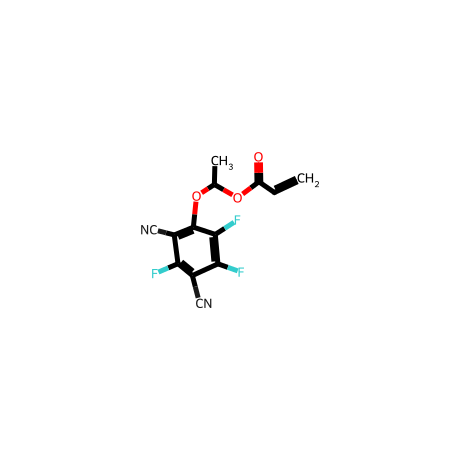 C=CC(=O)OC(C)Oc1c(F)c(F)c(C#N)c(F)c1C#N